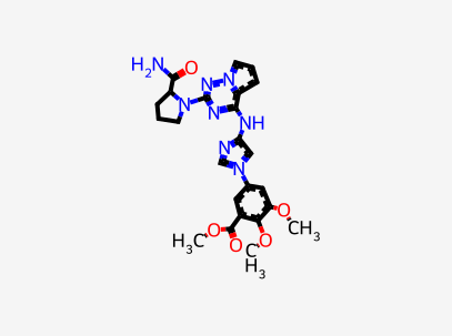 COC(=O)c1cc(-n2cnc(Nc3nc(N4CCCC4C(N)=O)nn4cccc34)c2)cc(OC)c1OC